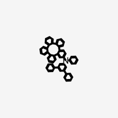 c1ccc(-c2cc(-c3ccccc3)cc(N(c3ccccc3)c3ccc4c5ccccc5c5ccccc5c5ccccc5c5ccccc5c4c3)c2)cc1